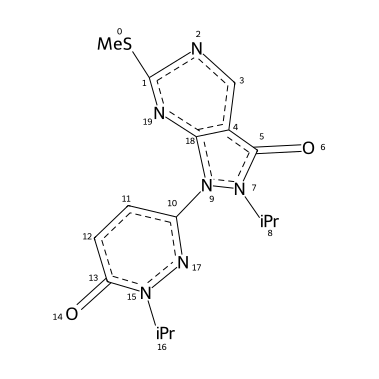 CSc1ncc2c(=O)n(C(C)C)n(-c3ccc(=O)n(C(C)C)n3)c2n1